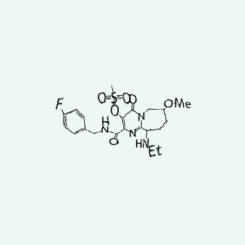 CCNC1CC[C@H](OC)Cn2c1nc(C(=O)NCc1ccc(F)cc1)c(OS(C)(=O)=O)c2=O